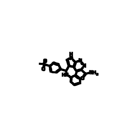 CS(=O)(=O)c1ccc(C2Nc3ccccc3-c3c(C(N)=O)nnc4[nH]cc2c34)cc1